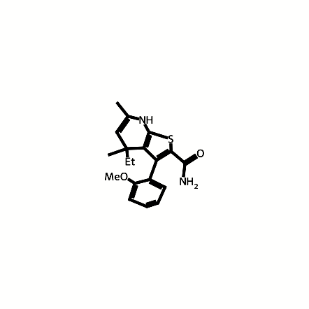 CCC1(C)C=C(C)Nc2sc(C(N)=O)c(-c3ccccc3OC)c21